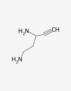 C#CC(N)CCN